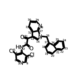 O=C(Nc1c(Cl)cncc1Cl)C(=O)c1cn(Cc2cccc3ccccc23)c2ncccc12